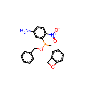 CP(OCc1ccccc1)c1cc(N)ccc1[N+](=O)[O-].c1ccc2c(c1)CO2